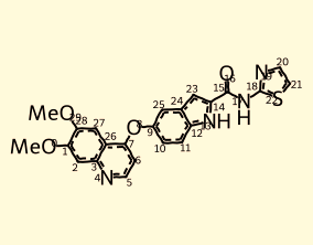 COc1cc2nccc(Oc3ccc4[nH]c(C(=O)Nc5nccs5)cc4c3)c2cc1OC